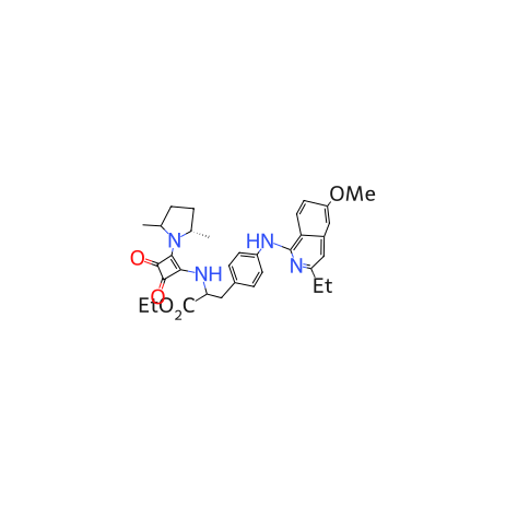 CCOC(=O)C(Cc1ccc(Nc2nc(CC)cc3cc(OC)ccc23)cc1)Nc1c(N2C(C)CC[C@@H]2C)c(=O)c1=O